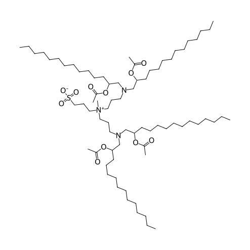 CCCCCCCCCCCCC(CN(CCC[N+](C)(CCCN(CC(CCCCCCCCCCCC)OC(C)=O)CC(CCCCCCCCCCCC)OC(C)=O)CCCS(=O)(=O)[O-])CC(CCCCCCCCCCCC)OC(C)=O)OC(C)=O